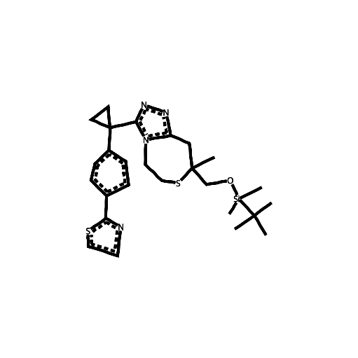 CC1(CO[Si](C)(C)C(C)(C)C)Cc2nnc(C3(c4ccc(-c5nccs5)cc4)CC3)n2CCS1